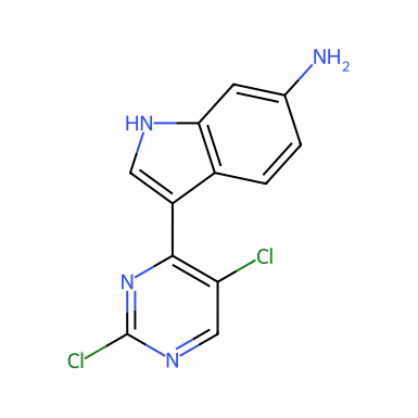 Nc1ccc2c(-c3nc(Cl)ncc3Cl)c[nH]c2c1